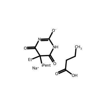 CCCC(=O)O.CCCC(C)C1(CC)C(=O)N=C([O-])NC1=O.[Na+]